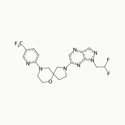 FC(F)Cn1ncc2ncc(N3CCC4(CN(c5ccc(C(F)(F)F)cn5)CCO4)C3)nc21